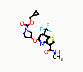 CNC(=O)c1csc2c(C(F)(F)F)cc(O[C@H]3CCN(C(=O)OCC4CC4)C3)nc12